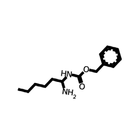 CCCCCC(N)NC(=O)OCc1ccccc1